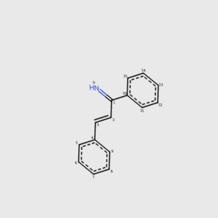 N=C(/C=C/c1ccccc1)c1ccccc1